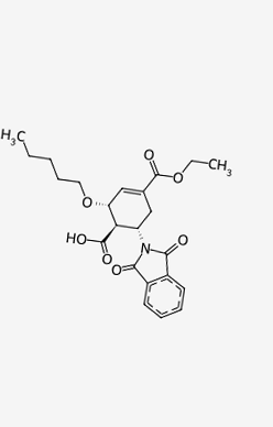 CCCCCO[C@@H]1C=C(C(=O)OCC)C[C@H](N2C(=O)c3ccccc3C2=O)[C@H]1C(=O)O